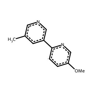 COc1c[c]c(-c2cncc(C)c2)nc1